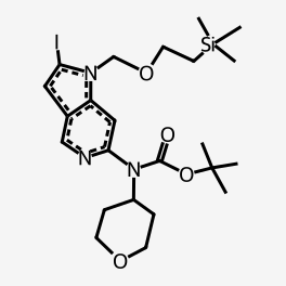 CC(C)(C)OC(=O)N(c1cc2c(cn1)cc(I)n2COCC[Si](C)(C)C)C1CCOCC1